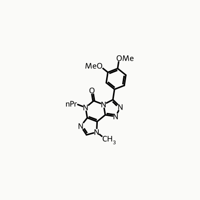 CCCn1c(=O)n2c(-c3ccc(OC)c(OC)c3)nnc2c2c1ncn2C